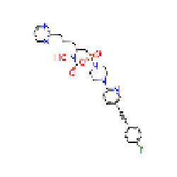 O=CN(O)C(CCCc1ncccn1)CS(=O)(=O)N1CCN(c2ccc(C#Cc3ccc(F)cc3)cn2)CC1